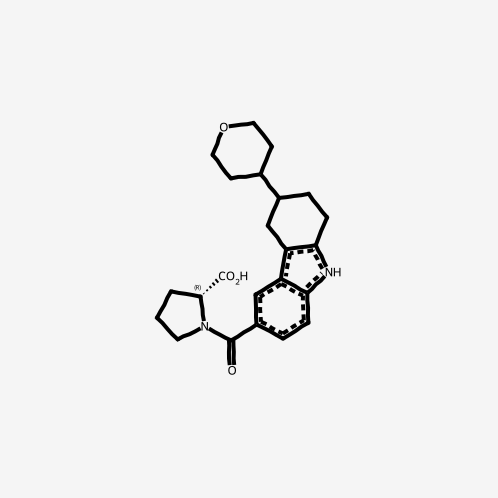 O=C(O)[C@H]1CCCN1C(=O)c1ccc2[nH]c3c(c2c1)CC(C1CCOCC1)CC3